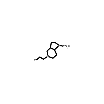 O=C(O)N1CCC2CN(CCCl)CCC21